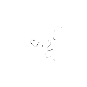 CC[C@@H](C)NCCC(=O)Nc1sc2c(c1-c1nc3cc(C(F)(F)F)ccc3s1)CCN(C(C)C)C2